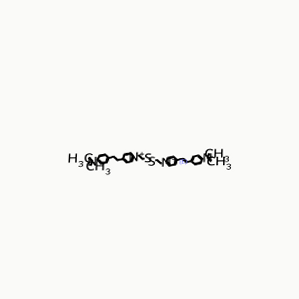 CN(C)c1ccc(/C=C/c2cc[n+](CCSSCC[n+]3ccc(CCc4ccc(N(C)C)cc4)cc3)cc2)cc1